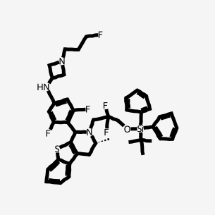 C[C@@H]1Cc2c(sc3ccccc23)C(c2c(F)cc(NC3CN(CCCF)C3)cc2F)N1CC(F)(F)CO[Si](c1ccccc1)(c1ccccc1)C(C)(C)C